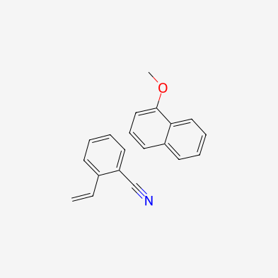 C=Cc1ccccc1C#N.COc1cccc2ccccc12